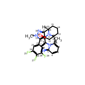 Cc1cccc2ncc(C(=O)N3[C@@H]4CCC[C@H]3c3nn(C)c(-c5cc(F)c(F)c(F)c5)c3C4)n12